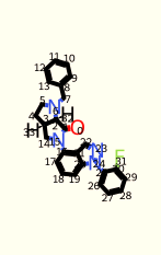 O=C1[C@H]2[C@H](CCN2Cc2ccccc2)CN1c1cccc2c1cnn2-c1ccccc1F